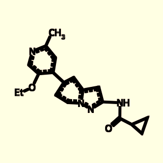 CCOc1cnc(C)cc1-c1ccn2nc(NC(=O)C3CC3)cc2c1